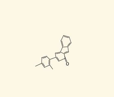 Cc1ccc(C2=CC(=O)C3=Cc4ccccc4C3=C2)c(C)c1